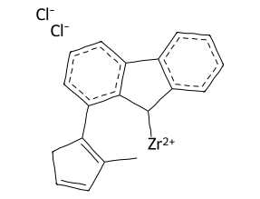 CC1=C(c2cccc3c2[CH]([Zr+2])c2ccccc2-3)CC=C1.[Cl-].[Cl-]